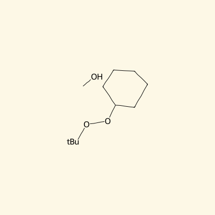 CC(C)(C)OOC1CCCCC1.CO